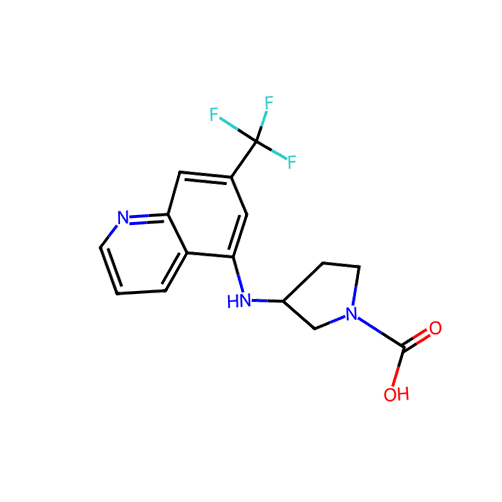 O=C(O)N1CCC(Nc2cc(C(F)(F)F)cc3ncccc23)C1